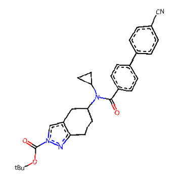 CC(C)(C)OC(=O)n1cc2c(n1)CCC(N(C(=O)c1ccc(-c3ccc(C#N)cc3)cc1)C1CC1)C2